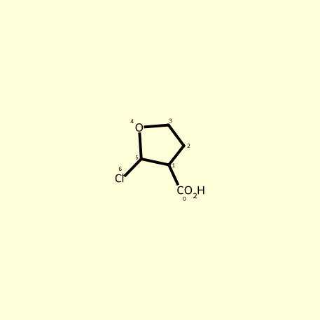 O=C(O)C1CCOC1Cl